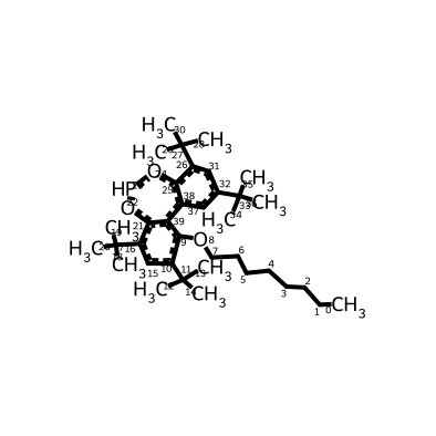 CCCCCCCCOc1c(C(C)(C)C)cc(C(C)(C)C)c2o[pH]oc3c(C(C)(C)C)cc(C(C)(C)C)cc3c12